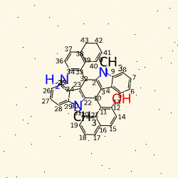 Cn1c2c(c3ccccc31)C(c1c(O)ccc3ccccc13)c1c(c3ccccc3n1C)C2c1c(N)ccc2c1C=CCC2